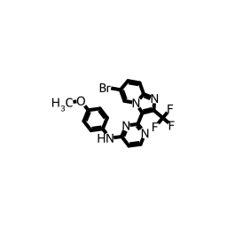 COc1ccc(Nc2ccnc(-c3c(C(F)(F)F)nc4ccc(Br)cn34)n2)cc1